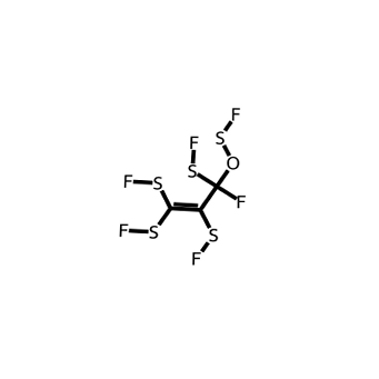 FSOC(F)(SF)C(SF)=C(SF)SF